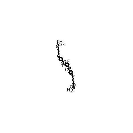 C=CC(=O)OCCCCCOc1ccc(C(=O)Oc2cc(F)c(OC(=O)c3ccc(OCCCCCOC(=O)C=C)cc3)c(F)c2)cc1